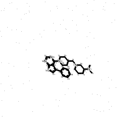 CN(C)C1CCCN(CC2CCN(c3ncnc4scc(-c5ccccc5)c34)CC2)C1